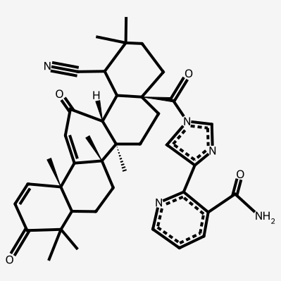 CC1(C)CC[C@]2(C(=O)n3cnc(-c4ncccc4C(N)=O)c3)CC[C@]3(C)[C@H](C(=O)C=C4[C@@]5(C)C=CC(=O)C(C)(C)C5CC[C@]43C)C2C1C#N